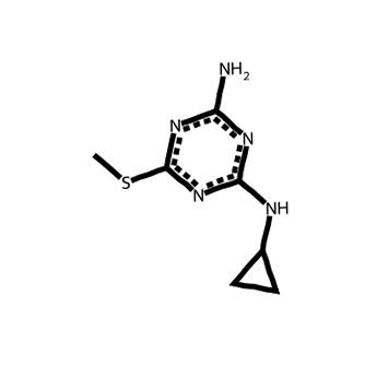 CSc1nc(N)nc(NC2CC2)n1